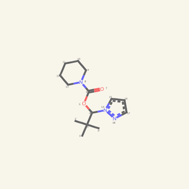 CC(C)(C)C(OC(=O)N1CCCCC1)n1cccn1